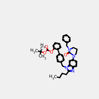 CCCCc1nc2ccc(N3CCCN(Cc4ccccc4)C3=O)cc2n1Cc1ccc(-c2ccccc2OC(=O)OC(C)(C)C)cc1